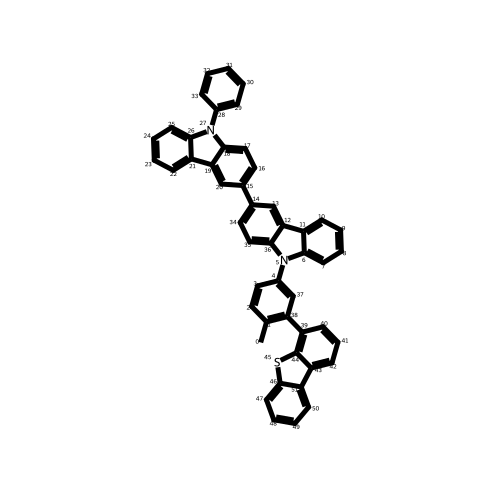 Cc1ccc(-n2c3ccccc3c3cc(-c4ccc5c(c4)c4ccccc4n5-c4ccccc4)ccc32)cc1-c1cccc2c1sc1ccccc12